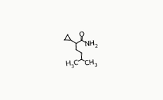 CC(C)CCC(C(N)=O)C1CC1